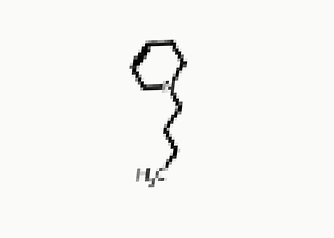 CCCCN1CC=CCC1